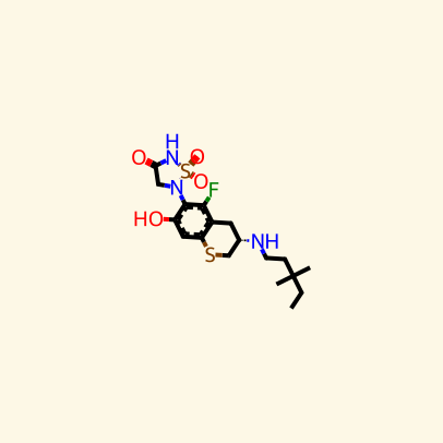 CCC(C)(C)CCN[C@@H]1CSc2cc(O)c(N3CC(=O)NS3(=O)=O)c(F)c2C1